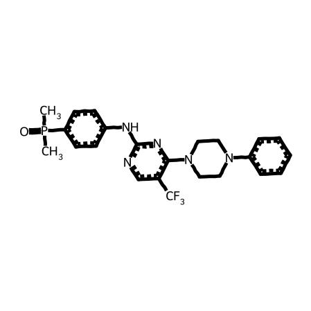 CP(C)(=O)c1ccc(Nc2ncc(C(F)(F)F)c(N3CCN(c4ccccc4)CC3)n2)cc1